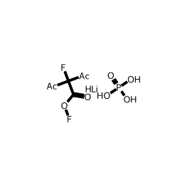 CC(=O)C(F)(C(C)=O)C(=O)OF.O=P(O)(O)O.[LiH]